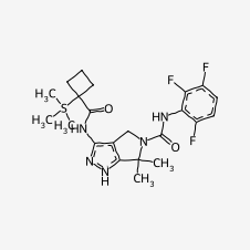 CC1(C)c2[nH]nc(NC(=O)C3(S(C)(C)C)CCC3)c2CN1C(=O)Nc1c(F)ccc(F)c1F